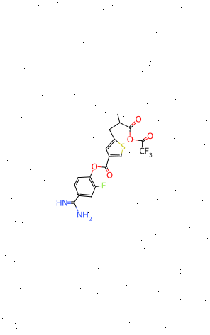 CC(Cc1cc(C(=O)Oc2ccc(C(=N)N)cc2F)cs1)C(=O)OC(=O)C(F)(F)F